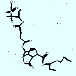 CCCOC(CC)OC(=O)C1C2CC3C(OC(=O)C31)C2OC(=O)CCC(=O)OC(C)C(F)(F)S(=O)(=O)O